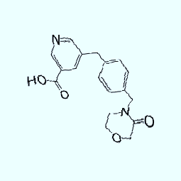 O=C(O)c1cncc(Cc2ccc(CN3CCOCC3=O)cc2)c1